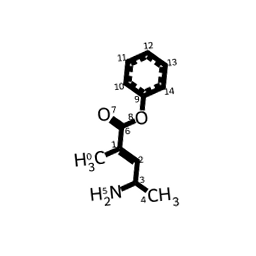 CC(=CC(C)N)C(=O)Oc1ccccc1